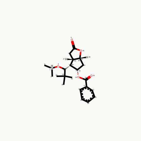 C[SiH](C)OC([C@@H]1[C@@H]2CC(=O)O[C@@H]2C[C@@H]1OC(=O)c1ccccc1)C(C)(C)C